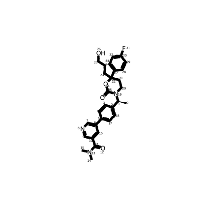 C[C@@H](c1ccc(-c2cncc(C(=O)N(C)C)c2)cc1)N1CCC(CCCO)(c2ccc(F)cc2)OC1=O